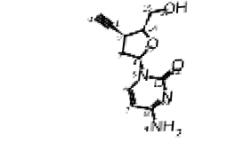 C#C[C@@H]1C[C@H](n2ccc(N)nc2=O)O[C@@H]1CO